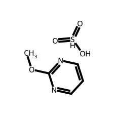 COc1ncccn1.O=[SH](=O)O